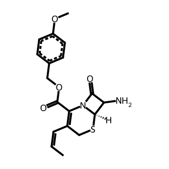 C/C=C\C1=C(C(=O)OCc2ccc(OC)cc2)N2C(=O)C(N)[C@H]2SC1